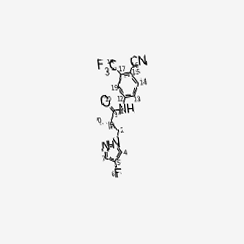 C[C@@H](Cn1cc(F)cn1)C(=O)Nc1ccc(C#N)c(C(F)(F)F)c1